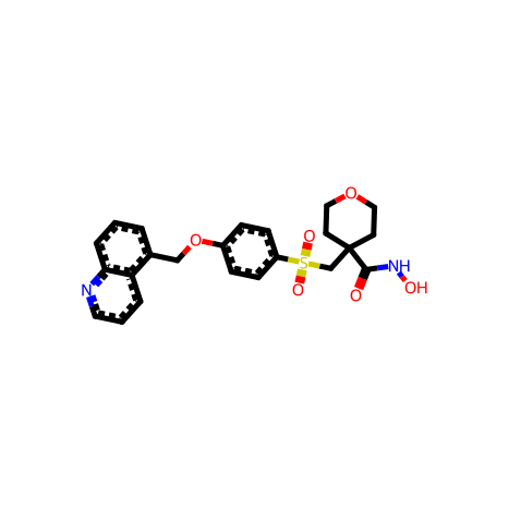 O=C(NO)C1(CS(=O)(=O)c2ccc(OCc3cccc4ncccc34)cc2)CCOCC1